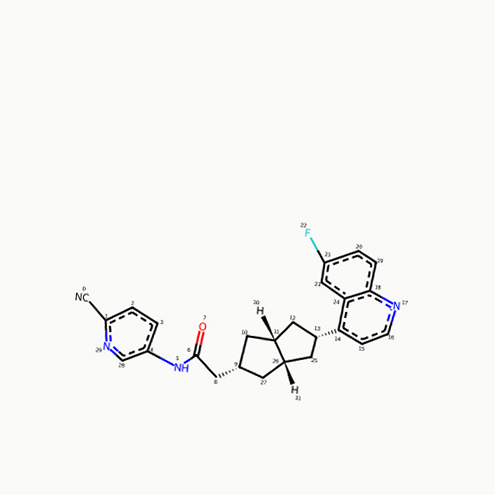 N#Cc1ccc(NC(=O)C[C@@H]2C[C@@H]3C[C@H](c4ccnc5ccc(F)cc45)C[C@@H]3C2)cn1